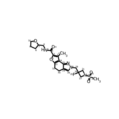 Cc1c(C(=O)NCC2CCCO2)oc2c1-c1nn(CC3(F)CN(S(C)(=O)=O)C3)cc1CC2